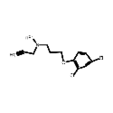 C#CCN(CCC)CCCOc1ccc(Cl)cc1Cl